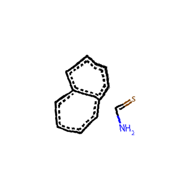 NC=S.c1ccc2ccccc2c1